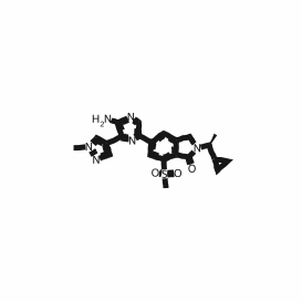 C[C@@H](C1CC1)N1Cc2cc(-c3cnc(N)c(-c4cnn(C)c4)n3)cc(S(C)(=O)=O)c2C1=O